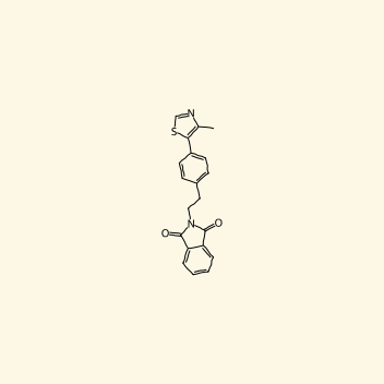 Cc1ncsc1-c1ccc(CCN2C(=O)c3ccccc3C2=O)cc1